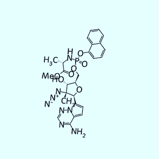 COC(=O)[C@H](C)NP(=O)(OC[C@H]1O[C@@H](c2ccc3c(N)ncnn23)[C@](C)(N=[N+]=[N-])[C@@H]1O)Oc1cccc2ccccc12